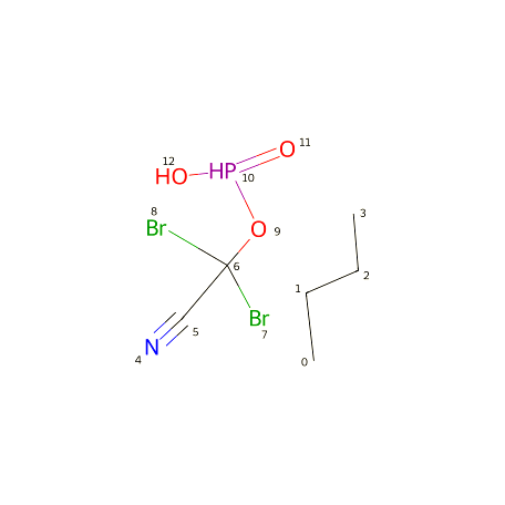 CCCC.N#CC(Br)(Br)O[PH](=O)O